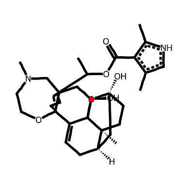 Cc1c[nH]c(C)c1C(=O)OC(C)C1=CC[C@@]23OCCN(C)CC12C[C@@H](O)C12O[C@@]4(O)CC[C@@]1(C)[C@H](CC=C23)C4